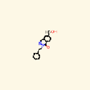 O=c1c2ccc(BO)cc2cnn1CCc1ccccc1